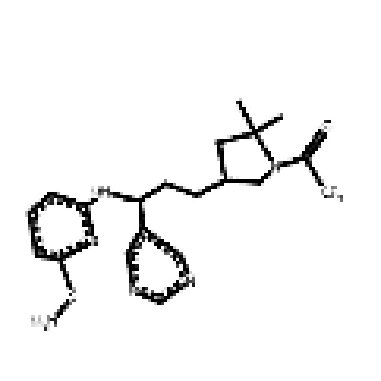 CC1(C)CC(CCC(Nc2cccc(SN)n2)c2cncnc2)CN1C(=O)C(F)(F)F